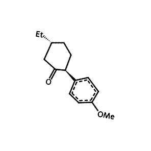 CC[C@@H]1CC[C@@H](c2ccc(OC)cc2)C(=O)C1